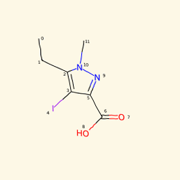 CCc1c(I)c(C(=O)O)nn1C